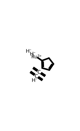 C=C=C.C=C=C.[H-].[H-].[H-].[Ru+3][C]1=CC=CC1